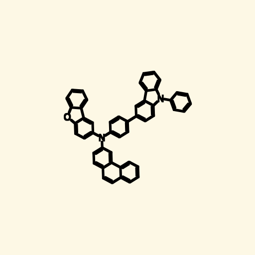 c1ccc(-n2c3ccccc3c3cc(-c4ccc(N(c5ccc6ccc7ccccc7c6c5)c5ccc6oc7ccccc7c6c5)cc4)ccc32)cc1